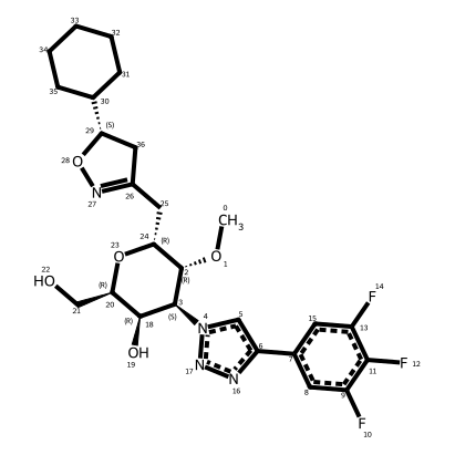 CO[C@@H]1[C@@H](n2cc(-c3cc(F)c(F)c(F)c3)nn2)[C@@H](O)[C@@H](CO)O[C@@H]1CC1=NO[C@H](C2CCCCC2)C1